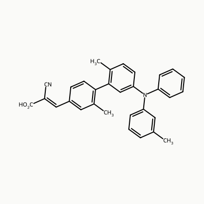 Cc1cccc(N(c2ccccc2)c2ccc(C)c(-c3ccc(/C=C(\C#N)C(=O)O)cc3C)c2)c1